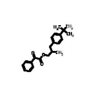 CC(COC(=O)C(=O)c1ccccc1)Cc1ccc(C(C)(C)C)cc1